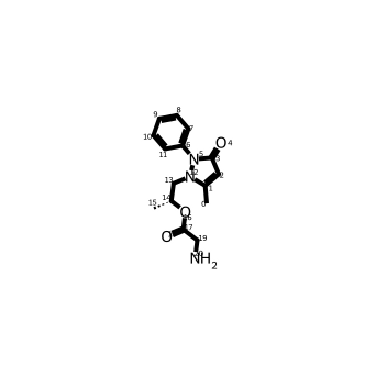 Cc1cc(=O)n(-c2ccccc2)n1C[C@@H](C)OC(=O)CN